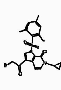 Cc1cc(C)c(S(=O)(=O)n2cc(C(=O)CBr)c3ccn(C4CC4)c(=O)c32)c(C)c1